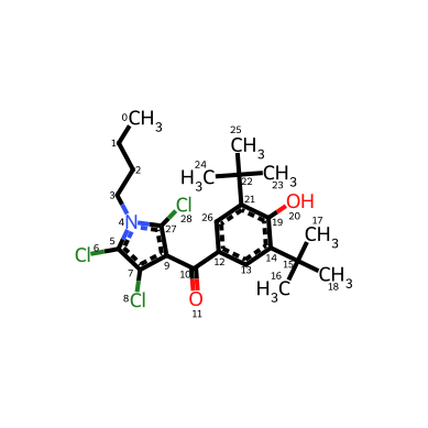 CCCCn1c(Cl)c(Cl)c(C(=O)c2cc(C(C)(C)C)c(O)c(C(C)(C)C)c2)c1Cl